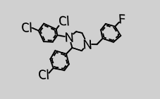 Fc1ccc(CN2CCN(c3ccc(Cl)cc3Cl)C(c3ccc(Cl)cc3)C2)cc1